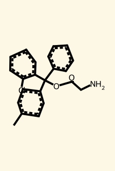 Cc1ccc(C(OC(=O)CN)(c2ccccc2)c2ccccc2Cl)cc1